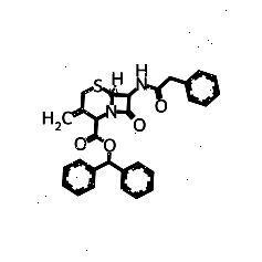 C=C1CS[C@H]2C(NC(=O)Cc3ccccc3)C(=O)N2C1C(=O)OC(c1ccccc1)c1ccccc1